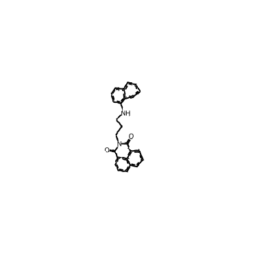 O=C1c2cccc3cccc(c23)C(=O)N1CCCNc1cccc2ccccc12